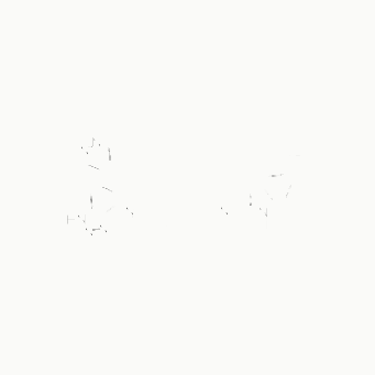 FC(F)(F)c1ccc2[nH]c(CNCCCCOC3CN(c4cc(-c5ccnnc5)cc5[nH]nnc45)C3)cc2c1